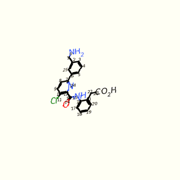 NCc1cccc(-c2ccc(Cl)c(C(=O)Nc3ccccc3CC(=O)O)n2)c1